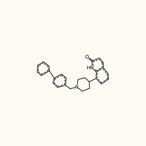 O=c1ccc2cccc(C3CCN(Cc4ccc(-c5ccccc5)cc4)CC3)c2[nH]1